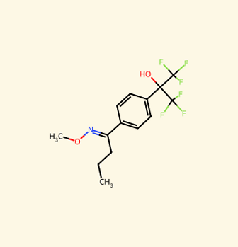 CCC/C(=N\OC)c1ccc(C(O)(C(F)(F)F)C(F)(F)F)cc1